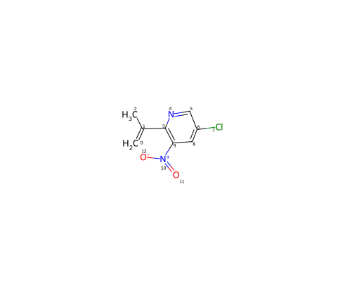 C=C(C)c1ncc(Cl)cc1[N+](=O)[O-]